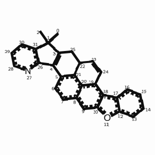 CC1(C)C2=C(c3ccc4cc5oc6ccccc6c5c5c4c3C(C=C5)C2)c2ncccc21